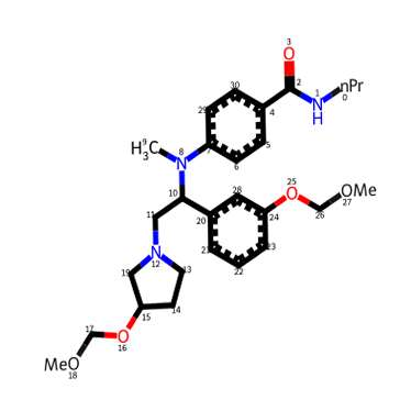 CCCNC(=O)c1ccc(N(C)C(CN2CCC(OCOC)C2)c2cccc(OCOC)c2)cc1